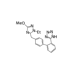 CCn1nc(OC)nc1Cc1ccc(-c2ccccc2-c2nnn[nH]2)cc1